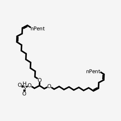 CCCCC/C=C\C/C=C\CCCCCCCCOCC(CO[SH](=O)=O)OCCCCCCCC/C=C\C/C=C\CCCCC